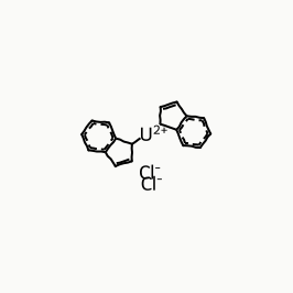 C1=C[CH]([U+2][CH]2C=Cc3ccccc32)c2ccccc21.[Cl-].[Cl-]